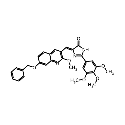 COc1cc(C2=N/C(=C\c3cc4ccc(OCc5ccccc5)cc4nc3OC)C(=O)N2)cc(OC)c1OC